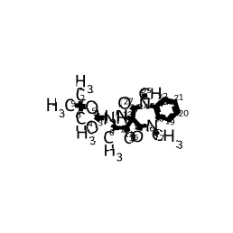 C[C@H](NC(=O)OC(C)(C)C)C(=O)C1(N)C(=O)N(C)c2ccccc2N(C)C1=O